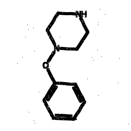 [c]1ccc(ON2CCNCC2)cc1